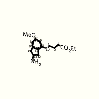 CCOC(=O)CCCOc1cc(OC)cc2c1CC(N)C2